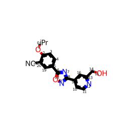 CC(C)Oc1ccc(-c2nc(-c3ccnc(CO)c3)no2)cc1C#N